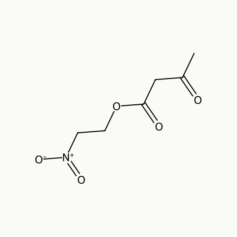 CC(=O)CC(=O)OCC[N+](=O)[O-]